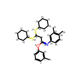 Cc1cccc(OC(CC(SC2CCCCC2)SC2CCCCC2)=Nc2ccc(C)c(C)c2)c1